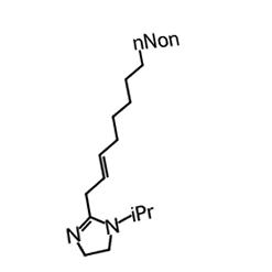 CCCCCCCCCCCCCCC=CCC1=NCCN1C(C)C